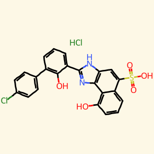 Cl.O=S(=O)(O)c1cc2[nH]c(-c3cccc(-c4ccc(Cl)cc4)c3O)nc2c2c(O)cccc12